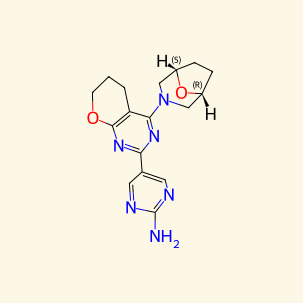 Nc1ncc(-c2nc3c(c(N4C[C@H]5CC[C@@H](C4)O5)n2)CCCO3)cn1